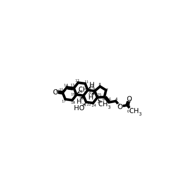 CC(=O)OCC=C1CC[C@H]2[C@@H]3CCC4=CC(=O)CC[C@]4(C)[C@H]3[C@@H](O)C[C@]12C